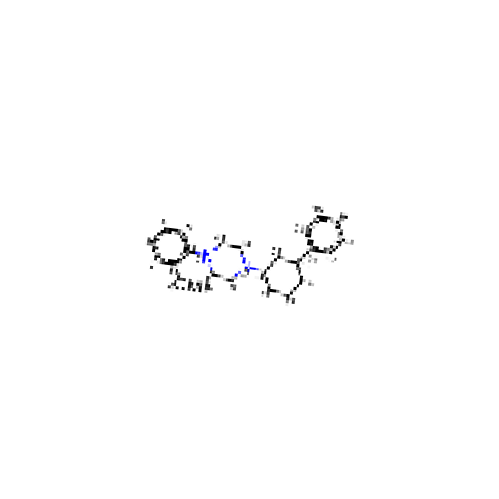 COc1ccccc1N1CCN(C2CCCC(c3ccccc3)C2)CC1